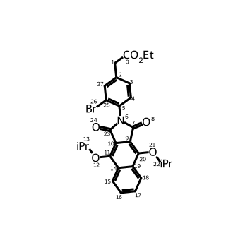 CCOC(=O)Cc1ccc(N2C(=O)c3c(c(OC(C)C)c4ccccc4c3OC(C)C)C2=O)c(Br)c1